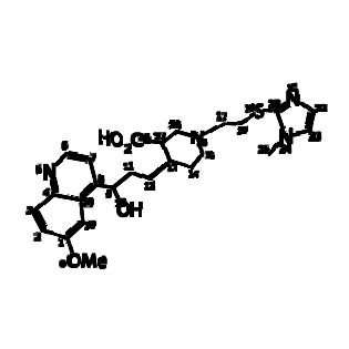 COc1ccc2nccc(C(O)CC[C@@H]3CCN(CCSc4nccn4C)C[C@@H]3C(=O)O)c2c1